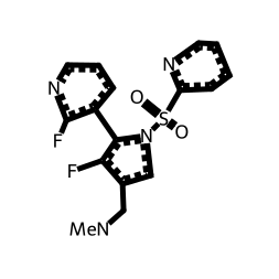 CNCc1cn(S(=O)(=O)c2ccccn2)c(-c2cccnc2F)c1F